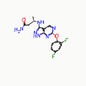 CC(CC(N)=O)Nc1n[nH]c2nc(Oc3ccc(F)cc3F)ncc12